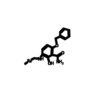 [CH3][Ra][CH2]Nc1ccc(OCc2ccccc2)c(C(N)=O)c1O